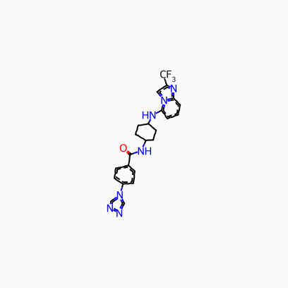 O=C(NC1CCC(Nc2cccc3nc(C(F)(F)F)cn23)CC1)c1ccc(-n2cnnc2)cc1